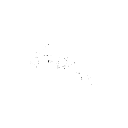 O=C1Nc2ccccc2/C1=C\Nc1ccc(OCCCN2CCCC2)cc1